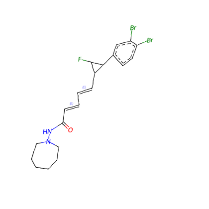 O=C(/C=C/C=C/C1C(F)C1c1ccc(Br)c(Br)c1)NN1CCCCCC1